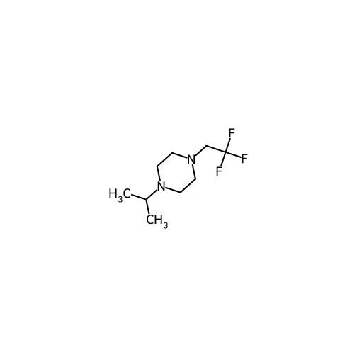 CC(C)N1CCN(CC(F)(F)F)CC1